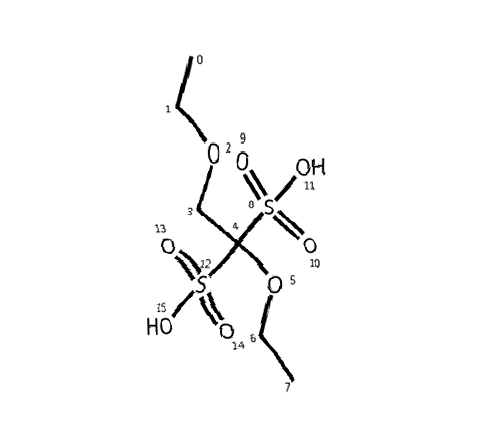 CCOCC(OCC)(S(=O)(=O)O)S(=O)(=O)O